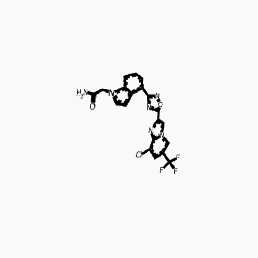 NC(=O)Cn1ccc2c(-c3noc(-c4cn5cc(C(F)(F)F)cc(Cl)c5n4)n3)cccc21